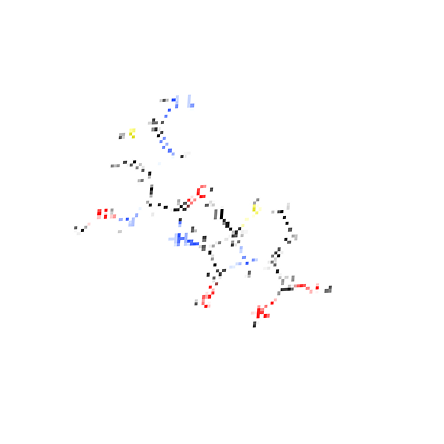 CON=C(C(=O)N[C@@H]1C(=O)N2C(C(=O)O)=CCS[C@@H]12)c1csc(N)n1